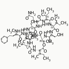 C=CC1CC12NC(=O)[C@H](C)NC(=O)[C@H](NC(=O)[C@H](CO)NC(=O)[C@@H](NC(=O)[C@H](NC(=O)[C@@H](CCC(N)=O)NC(=O)[C@H](CO)NC(=O)[C@@H](NC(=O)[C@@H](CCc1ccccc1)NC)[C@@H](C)CC)[C@@H](C)CC)[C@@H](C)CC)[C@H](C)OC(=O)[C@H]([C@@H](C)CC)NC2=O